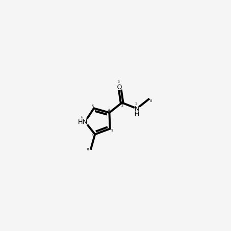 CNC(=O)c1c[nH]c(C)c1